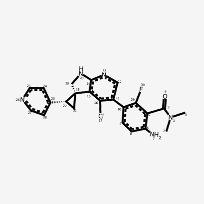 CN(C)C(=O)c1c(N)ccc(-c2cnc3c(c2Cl)[C@@]2(CN3)C[C@@H]2c2ccncc2)c1F